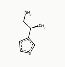 C[C@H](CN)c1ccsc1